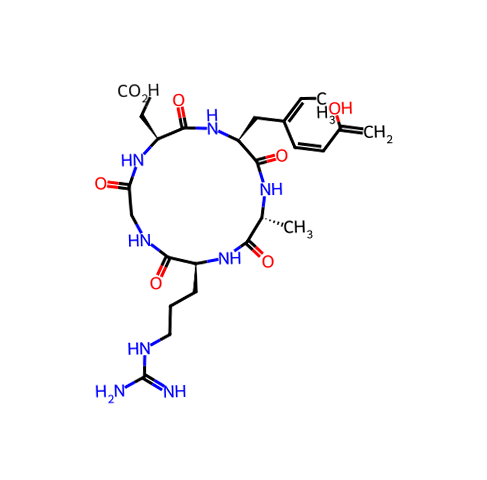 C=C(O)/C=C\C(=C/C)C[C@@H]1NC(=O)[C@H](CC(=O)O)NC(=O)CNC(=O)[C@H](CCCNC(=N)N)NC(=O)[C@@H](C)NC1=O